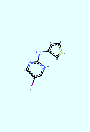 Ic1cnc(Nc2ccsc2)nc1